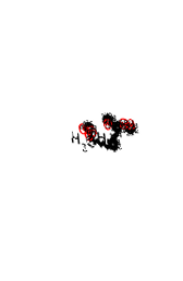 CC(C)(CCCCCc1cccc(C=Cc2cc(OC3CCCCO3)cc(C3CCCCO3)c2)c1)OC1OCCCC1=O